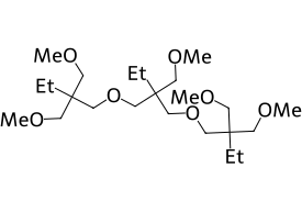 CCC(COC)(COC)COCC(CC)(COC)COCC(CC)(COC)COC